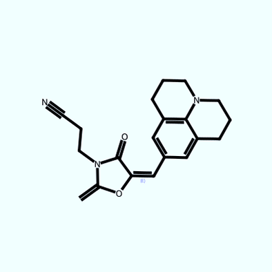 C=c1o/c(=C/c2cc3c4c(c2)CCCN4CCC3)c(=O)n1CCC#N